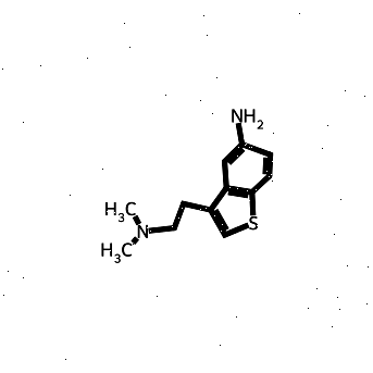 CN(C)CCc1csc2ccc(N)cc12